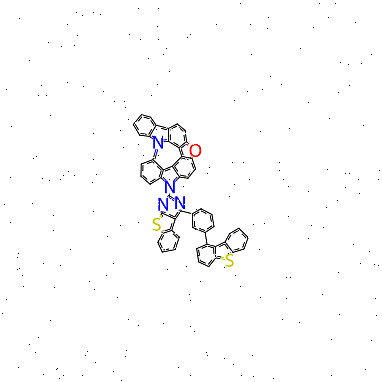 c1cc(-c2cccc3sc4ccccc4c23)cc(-c2nc(-n3c4ccc5oc6ccc7c8ccccc8n8c9cccc3c9c4c5c6c78)nc3sc4ccccc4c23)c1